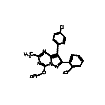 CCCOc1nc(C)nc2c(-c3ccc(Cl)cc3)c(-c3ccccc3Cl)nn12